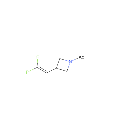 CC(=O)N1CC(C=C(F)F)C1